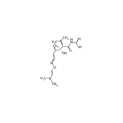 CC(=O)[C@H](NC(=O)[C@@H]([C@H](O)[C@H](C)C/C=N/OCCN(C)C)N(C)C)C(C)C